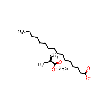 C=C(C)C(=O)[O-].CCCCCCCCCCCCCCCC(=O)[O-].[Zn+2]